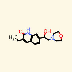 CCc1cc2ccc(C(O)CN3CCOCC3)cc2[nH]c1=O